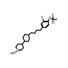 CCC[SiH]1CCC(C2CCC(CCCCc3ccc(OC(F)(F)Cl)c(F)c3)CC2)CC1